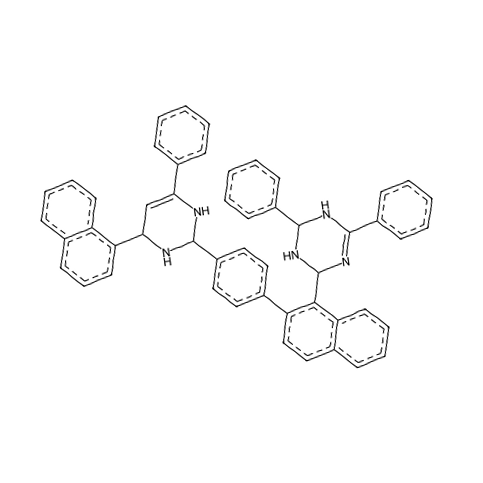 C1=C(c2ccccc2)NC(c2ccc(-c3ccc4ccccc4c3C3N=C(c4ccccc4)NC(c4ccccc4)N3)cc2)NC1c1cccc2ccccc12